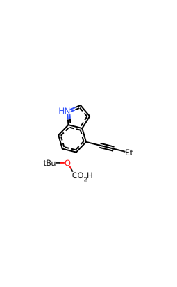 CC(C)(C)OC(=O)O.CCC#Cc1cccc2[nH]ccc12